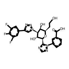 O=C(O)c1cccc(-n2ncnc2[C@@H]2O[C@H](CCO)[C@H](O)[C@H](n3cc(-c4cc(F)c(F)c(F)c4)nn3)[C@H]2O)c1